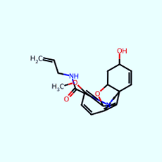 C=CCNC(=O)N1CCC23C=CC(O)CC2Oc2c(OC)ccc(c23)C1